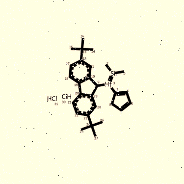 C[Si](C)=[Hf]([C]1=CC=CC1)[CH]1c2cc(C(C)(C)C)ccc2-c2ccc(C(C)(C)C)cc21.Cl.Cl